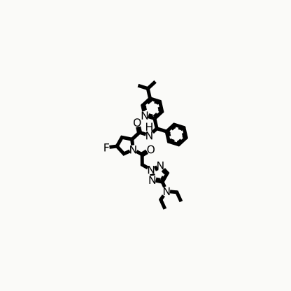 CCN(CC)c1cnn(CC(=O)N2CC(F)CC2C(=O)NC(c2ccccc2)c2ccc(C(C)C)cn2)n1